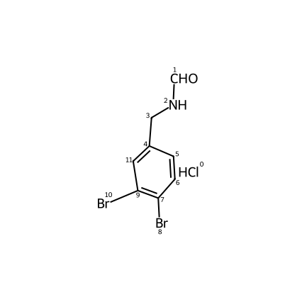 Cl.O=CNCc1ccc(Br)c(Br)c1